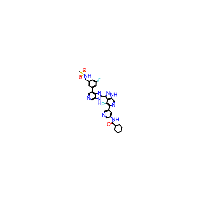 CS(=O)(=O)NCc1cc(F)cc(-c2cncc3[nH]c(-c4n[nH]c5cnc(-c6cncc(NC(=O)C7CCCCC7)c6)c(F)c45)nc23)c1